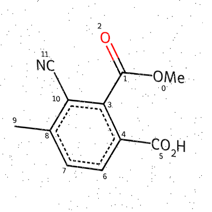 COC(=O)c1c(C(=O)O)ccc(C)c1C#N